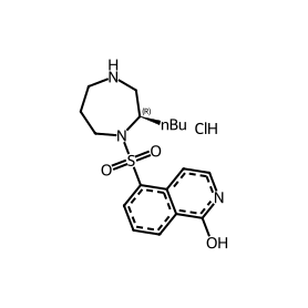 CCCC[C@@H]1CNCCCN1S(=O)(=O)c1cccc2c(O)nccc12.Cl